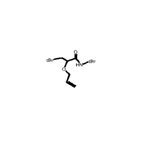 C=CCOC(CC(C)(C)C)C(=O)NC(C)(C)C